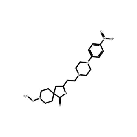 CSN1CCC2(CC1)CC(CCN1CCN(c3ccc([N+](=O)[O-])cc3)CC1)OC2=O